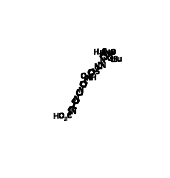 CC1(NC(=O)OC(C)(C)C)CCN(c2cnc(Sc3cccc(NC(=O)c4ccc(N5CCC(N6CC=C(c7ccc(C(=O)O)nc7)CC6)CC5)cc4)c3)cn2)CC1